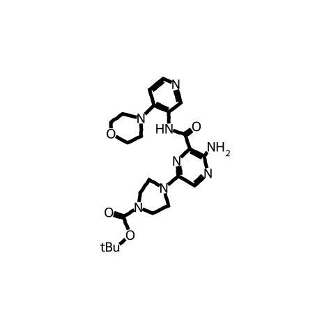 CC(C)(C)OC(=O)N1CCN(c2cnc(N)c(C(=O)Nc3cnccc3N3CCOCC3)n2)CC1